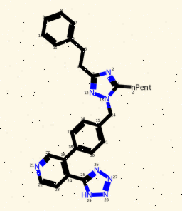 CCCCCc1nc(CCc2ccccc2)nn1Cc1ccc(-c2cnccc2-c2nnn[nH]2)cc1